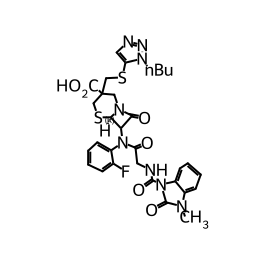 CCCCn1nncc1SCC1(C(=O)O)CS[C@@H]2C(N(C(=O)CNC(=O)n3c(=O)n(C)c4ccccc43)c3ccccc3F)C(=O)N2C1